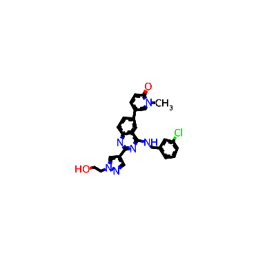 Cn1cc(-c2ccc3nc(-c4cnn(CCO)c4)nc(NCc4cccc(Cl)c4)c3c2)ccc1=O